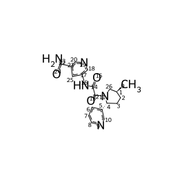 C[C@H]1CC[C@H](c2cccnc2)N(C(=O)C(=O)Nc2cncc(C(N)=O)c2)C1